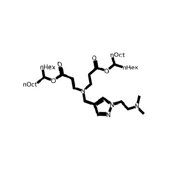 CCCCCCCCC(CCCCCC)OC(=O)CCN(CCC(=O)OC(CCCCCC)CCCCCCCC)Cc1cnn(CCN(C)C)c1